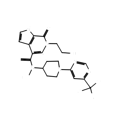 CCCn1cc(C(=O)N(C)C2CCN(c3cc(C(F)(F)F)ncn3)CC2)c2cc[nH]c2c1=O